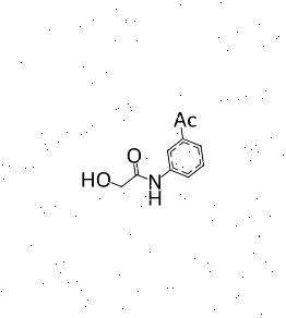 CC(=O)c1cccc(NC(=O)CO)c1